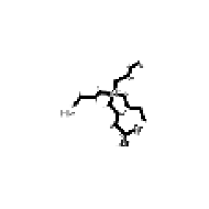 CCCC[N+](CCCC)(CCCC)CCCC(Br)Br.I